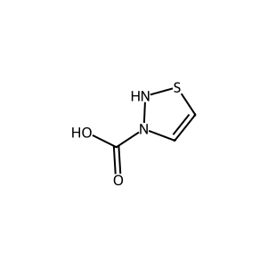 O=C(O)N1C=CSN1